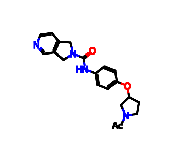 CC(=O)N1CCC(Oc2ccc(NC(=O)N3Cc4ccncc4C3)cc2)C1